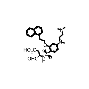 CN(C)CCN(C)c1ccc(S(=O)(=O)N[C@H](C=O)CC(=O)O)c(OCCc2cccc3ccccc23)c1